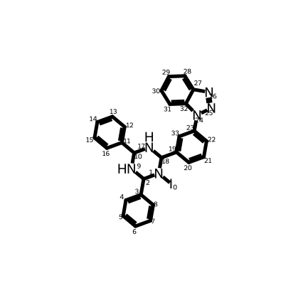 IN1C(c2ccccc2)NC(c2ccccc2)NC1c1cccc(-n2nnc3ccccc32)c1